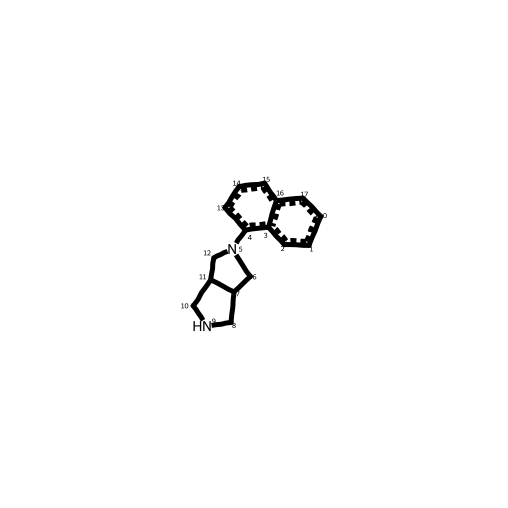 c1ccc2c(N3CC4CNCC4C3)cccc2c1